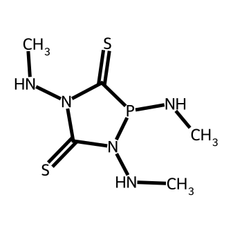 CNn1c(=S)n(NC)p(NC)c1=S